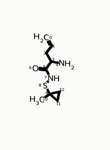 C=CCC(N)C(=O)NSC1(C)CC1